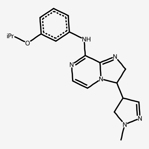 CC(C)Oc1cccc(NC2=NC=CN3C2=NCC3C2C=NN(C)C2)c1